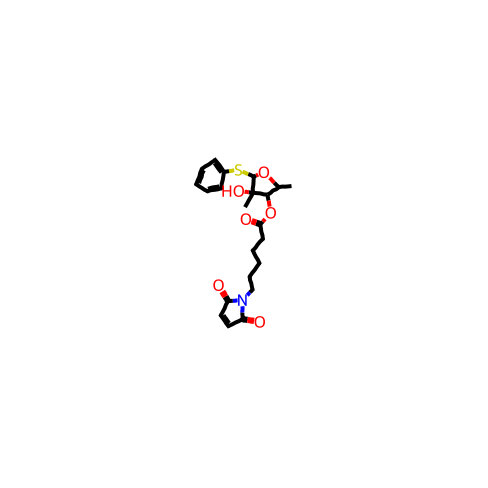 CC1OC(Sc2ccccc2)C(C)(O)C1OC(=O)CCCCCN1C(=O)C=CC1=O